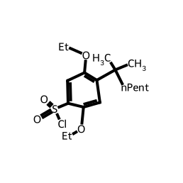 CCCCCC(C)(C)c1cc(OCC)c(S(=O)(=O)Cl)cc1OCC